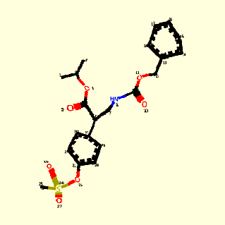 CC(C)OC(=O)C(CNC(=O)OCc1ccccc1)c1ccc(OS(C)(=O)=O)cc1